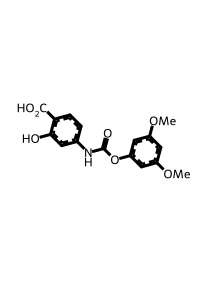 COc1cc(OC)cc(OC(=O)Nc2ccc(C(=O)O)c(O)c2)c1